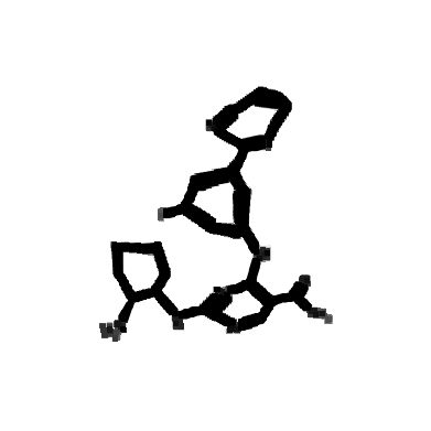 NC(=O)c1cnc(NC2CCCC[C@@H]2N)nc1Nc1cc(F)cc(-c2ncccn2)c1